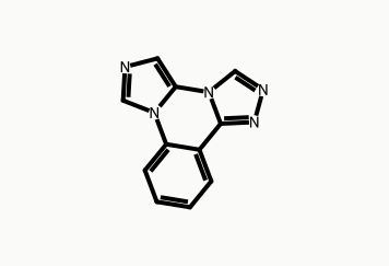 c1ccc2c(c1)c1nncn1c1cncn21